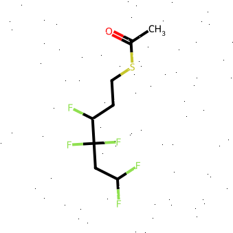 CC(=O)SCCC(F)C(F)(F)CC(F)F